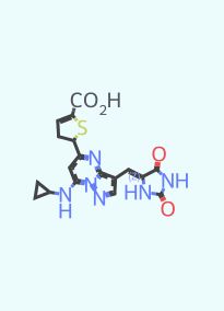 O=C1NC(=O)/C(=C/c2cnn3c(NC4CC4)cc(C4CC=C(C(=O)O)S4)nc23)N1